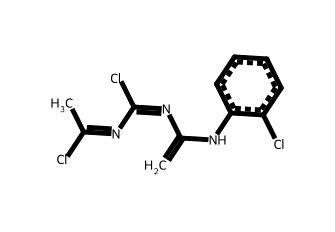 C=C(/N=C(Cl)\N=C(/C)Cl)Nc1ccccc1Cl